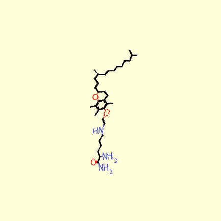 Cc1c(C)c2c(c(C)c1OCCNCCCC[C@@H](N)C(N)=O)CCC(CCC[C@@H](C)CCCCCCCC(C)C)O2